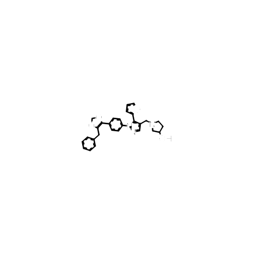 OC1CCN(Cc2cnn(-c3ccc(C4=C(Cc5ccccc5)OCO4)cc3)c2-c2ccco2)C1